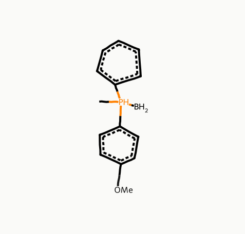 B[PH](C)(c1ccccc1)c1ccc(OC)cc1